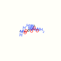 CCNCCNC(=O)OCc1ccc(NC(=O)[C@H](CCCNC(N)=O)NC(=O)[C@@H](N)C(C)C)cc1